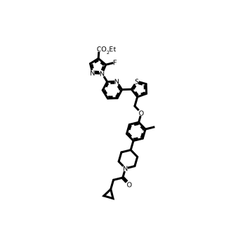 CCOC(=O)c1cnn(-c2cccc(-c3sccc3COc3ccc(C4CCN(C(=O)CC5CC5)CC4)cc3C)n2)c1F